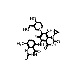 Cc1ccc(Nc2c(F)c(N3CCC(O)C(CO)C3)c(C)c3c2c(=O)[nH]c(=O)n3C2CC2)c2c(=O)[nH]c(=O)[nH]c12